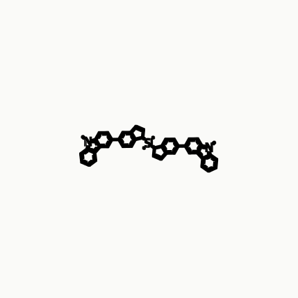 Cn1c2ccccc2c2cc(-c3ccc4c(c3)C=CC4[Si](C)(C)C3C=Cc4cc(-c5ccc6c(c5)c5ccccc5n6C)ccc43)ccc21